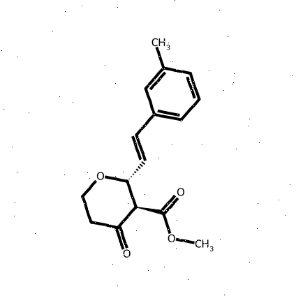 COC(=O)[C@H]1C(=O)CCO[C@@H]1/C=C/c1cccc(C)c1